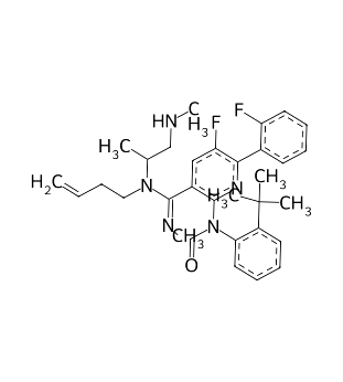 C=CCCN(/C(=N/C)c1cc(F)c(-c2ccccc2F)nc1N(C=O)c1ccccc1C(C)(C)C)C(C)CNC